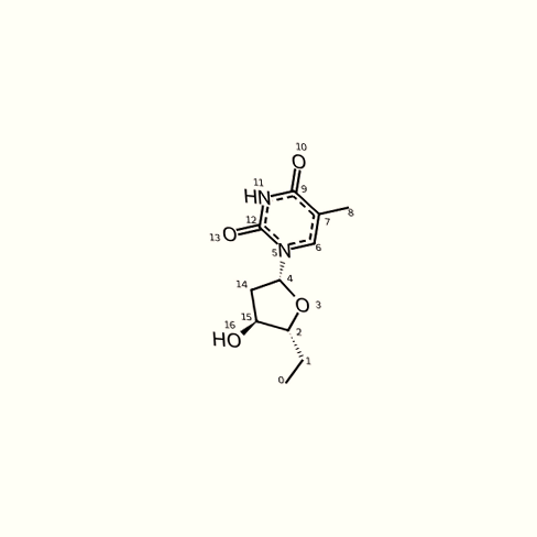 CC[C@H]1O[C@@H](n2cc(C)c(=O)[nH]c2=O)C[C@@H]1O